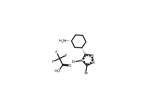 CCn1c(Br)nnc1[C@H]1CCC[C@@H](N)C1.O=C(O)C(F)(F)F